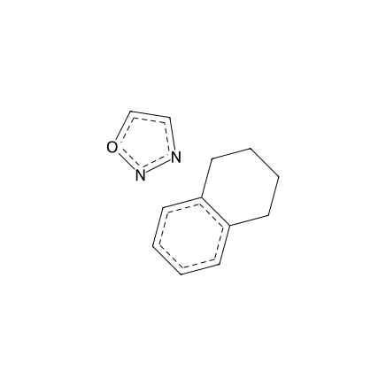 c1ccc2c(c1)CCCC2.c1conn1